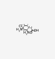 NC1=CC(N)(Cl)C=CC1CC(=O)O